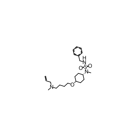 C=CCN(C)CCCCO[C@H]1CC[C@H](N(C)S(=O)(=O)NCc2ccccc2)CC1